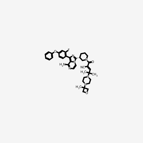 CC(C)(/C=C(\C#N)C(=O)N1CCC[C@@H](c2nc(-c3ccc(Oc4ccccc4)cc3F)c3c(N)nccn23)C1)N1CCN(C2(C)COC2)CC1